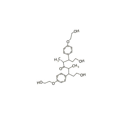 CC(C(=O)C(C)C(CCO)c1ccc(OCCO)cc1)C(CCO)c1ccc(OCCO)cc1